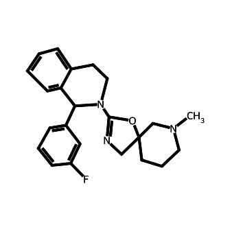 CN1CCCC2(CN=C(N3CCc4ccccc4C3c3cccc(F)c3)O2)C1